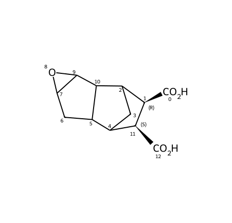 O=C(O)[C@@H]1C2CC(C3CC4OC4C32)[C@@H]1C(=O)O